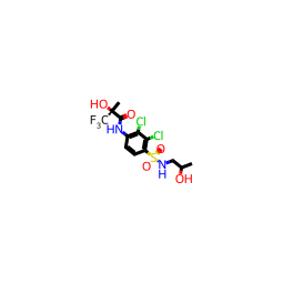 CC(O)CNS(=O)(=O)c1ccc(NC(=O)[C@@](C)(O)C(F)(F)F)c(Cl)c1Cl